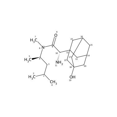 CC(C)C[C@@H](C)N(C)C(=O)[C@@H](N)C12CC3CC(CC(O)(C3)C1)C2